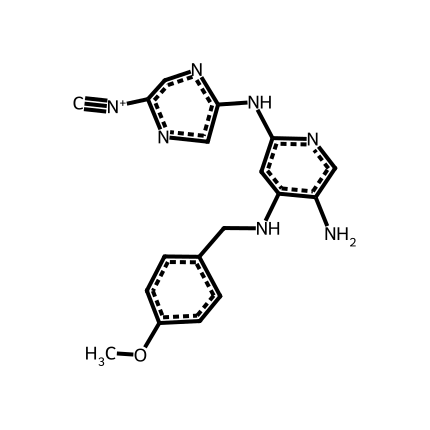 [C-]#[N+]c1cnc(Nc2cc(NCc3ccc(OC)cc3)c(N)cn2)cn1